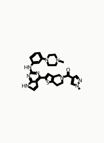 CN1CCN(c2cccc(Nc3nc(-c4cc5c(s4)CCN(C(=O)c4cnn(C)c4)C5)c4cc[nH]c4n3)c2)CC1